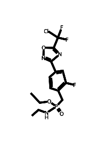 CCNP(=O)(Cc1ccc(-c2noc(C(F)(F)Cl)n2)cc1F)OCC